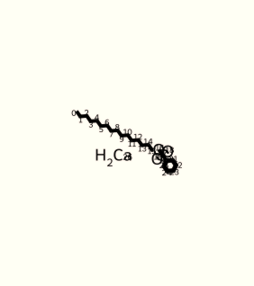 CCCCCCCCCCCCCCCCOS(=O)(=O)c1ccccc1.[CaH2]